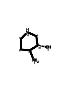 NC1CCNC[C@@H]1O